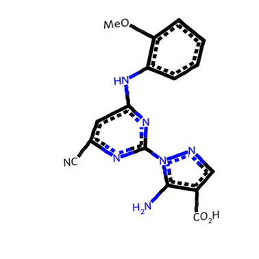 COc1ccccc1Nc1cc(C#N)nc(-n2ncc(C(=O)O)c2N)n1